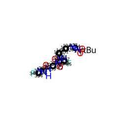 CC(C)(C)OC(=O)N1CCN(Cc2ccc(-c3cccc(-n4c(=O)n(C5CCC(NC(=O)c6cn7cc(F)ccc7n6)CC5)c(=O)c5cc(F)cnc54)c3)cc2)CC1